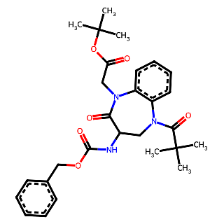 CC(C)(C)OC(=O)CN1C(=O)C(NC(=O)OCc2ccccc2)CN(C(=O)C(C)(C)C)c2ccccc21